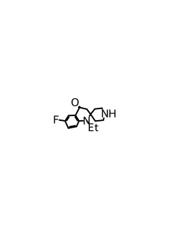 CCN1c2ccc(F)cc2C(=O)CC12CCNCC2